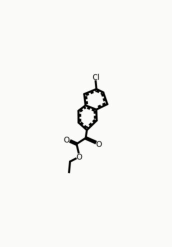 CCOC(=O)C(=O)c1ccc2cc(Cl)ccc2c1